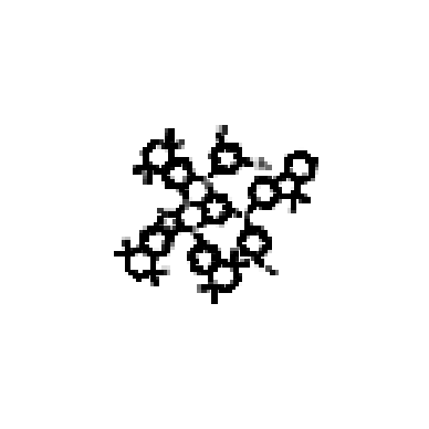 CC(C)(C)c1ccc(N(c2cc3c4c(c2)N(c2ccc5c(c2)C(C)(C)CCC5(C)C)c2c(sc5cc6c(cc25)C(C)(C)CCC6(C)C)B4c2cc4c(cc2N3c2cc(C(C)(C)C)cc(C(C)(C)C)c2)C(C)(C)CCC4(C)C)c2ccc3c(c2)C(C)(C)c2ccccc2-3)cc1